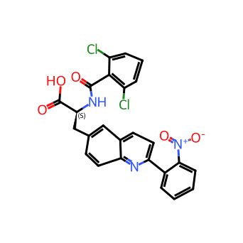 O=C(N[C@@H](Cc1ccc2nc(-c3ccccc3[N+](=O)[O-])ccc2c1)C(=O)O)c1c(Cl)cccc1Cl